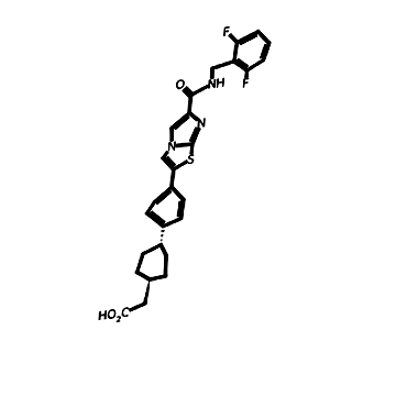 O=C(O)C[C@H]1CC[C@H](c2ccc(-c3cn4cc(C(=O)NCc5c(F)cccc5F)nc4s3)cc2)CC1